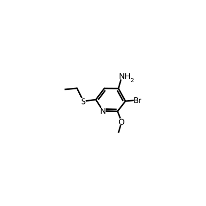 CCSc1cc(N)c(Br)c(OC)n1